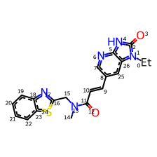 CCn1c(=O)[nH]c2ncc(C=CC(=O)N(C)Cc3nc4ccccc4s3)cc21